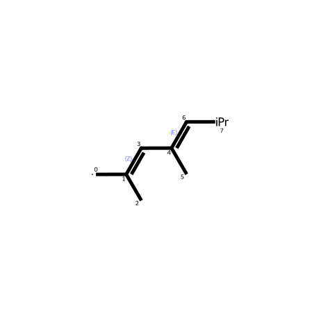 [CH2]/C(C)=C/C(C)=C/C(C)C